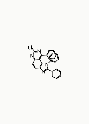 Clc1nc(-c2ccccc2)c2c(ccc3nc(-c4ccccc4)n(-c4ccccc4)c32)n1